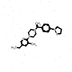 C=C(c1ccc(N2CCCS2)cc1)N1CCN(c2ncc(CC)cc2C)CC1